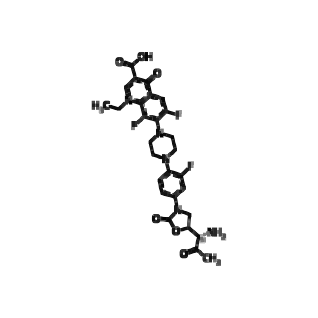 CCn1cc(C(=O)O)c(=O)c2cc(F)c(N3CCN(c4ccc(N5CC([C@H](N)C(C)=O)OC5=O)cc4F)CC3)c(F)c21